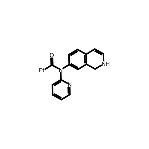 CCC(=O)N(c1ccc2c(c1)CNC=C2)c1ccccn1